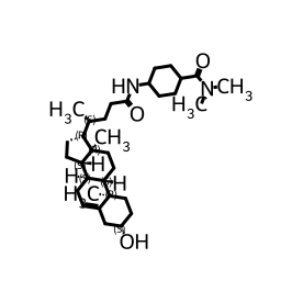 C[C@@H](CCC(=O)NC1CCC(C(=O)N(C)C)CC1)[C@H]1CC[C@H]2[C@@H]3CC=C4C[C@@H](O)CC[C@]4(C)[C@H]3CC[C@]12C